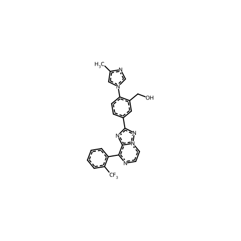 Cc1cn(-c2ccc(-c3nc4c(-c5ccccc5C(F)(F)F)nccn4n3)cc2CO)cn1